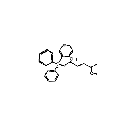 CC(O)CCC(O)C[PH](c1ccccc1)(c1ccccc1)c1ccccc1